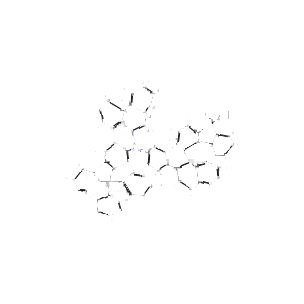 CC1(C)C2=CC=CCC2c2c(-c3c(-c4ccc(N(c5ccc6c(c5)C(c5ccccc5)(c5ccccc5)C5C=CC=CC65)c5cc6ccccc6c6ccccc56)cc4)ccc4ccccc34)cccc21